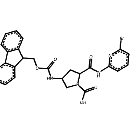 O=C(NC1CC(C(=O)Nc2cccc(Br)n2)N(C(=O)O)C1)OCC1c2ccccc2-c2ccccc21